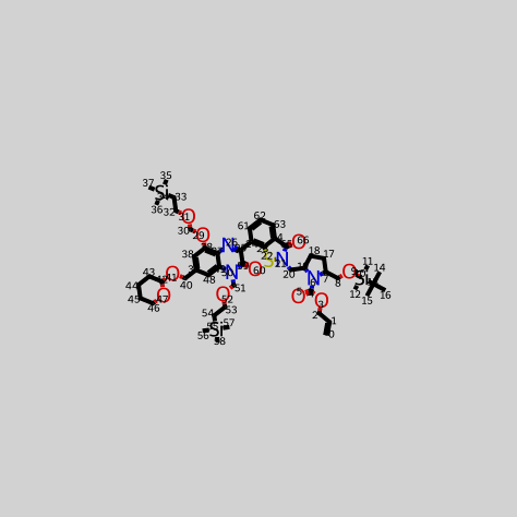 C=CCOC(=O)N1C(CO[Si](C)(C)C(C)(C)C)CCC1Cn1sc2c(-c3nc4c(OCOCC[Si](C)(C)C)cc(COC5CCCCO5)cc4n(COCC[Si](C)(C)C)c3=O)cccc2c1=O